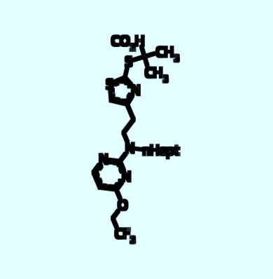 CCCCCCCN(CCc1csc(SC(C)(C)C(=O)O)n1)c1nccc(OCC(F)(F)F)n1